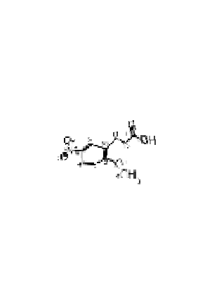 COc1ccc([N+](=O)[O-])cc1CCC(=O)O